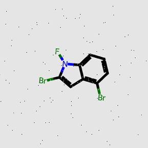 Fn1c(Br)cc2c(Br)cccc21